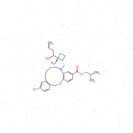 C=CC[C@H](O)[C@]1(C)CC[C@@H]1CN1CCCCc2cc(Cl)ccc2COc2ccc(C(=O)OCC(C)C)cc21